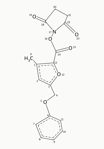 Cc1cc(COc2ccccc2)oc1C(=O)ON1C(=O)CCC1=O